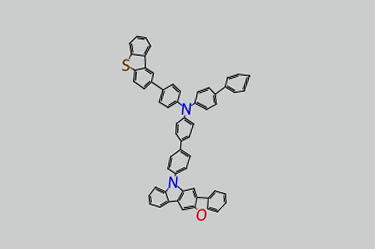 c1ccc(-c2ccc(N(c3ccc(-c4ccc(-n5c6ccccc6c6cc7oc8ccccc8c7cc65)cc4)cc3)c3ccc(-c4ccc5sc6ccccc6c5c4)cc3)cc2)cc1